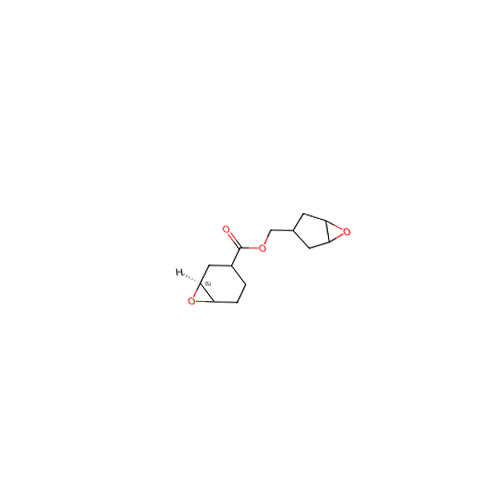 O=C(OCC1CC2OC2C1)C1CCC2O[C@H]2C1